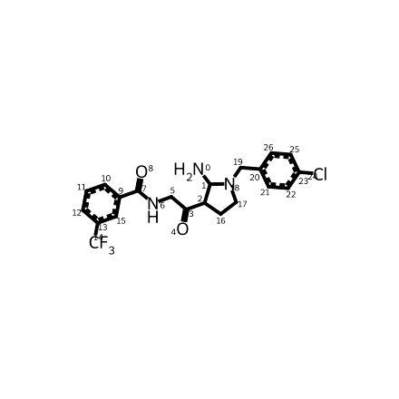 NC1C(C(=O)CNC(=O)c2cccc(C(F)(F)F)c2)CCN1Cc1ccc(Cl)cc1